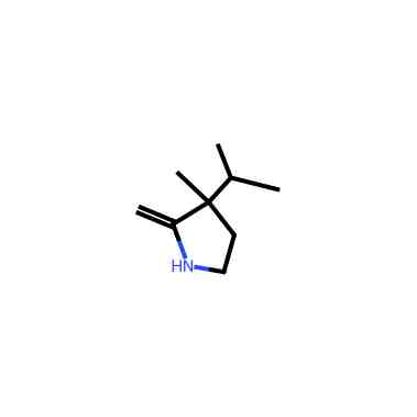 C=C1NCCC1(C)C(C)C